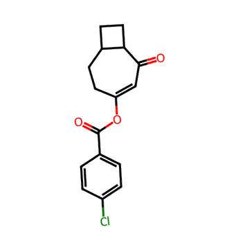 O=C(OC1=CC(=O)C2CCC2CC1)c1ccc(Cl)cc1